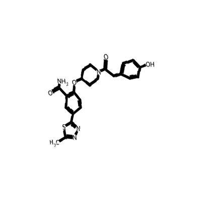 Cc1nnc(-c2ccc(OC3CCN(C(=O)Cc4ccc(O)cc4)CC3)c(C(N)=O)c2)s1